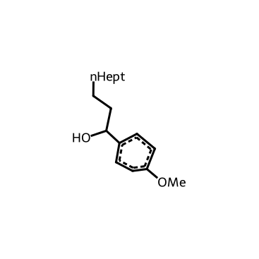 CCCCCCCCCC(O)c1ccc(OC)cc1